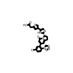 O=C(O)Cc1cc(-c2cnc([C@@H]3CCc4cc(-c5cc(Cl)ccc5-n5cnnn5)cc(=O)n43)[nH]2)cs1